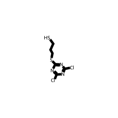 SCCCSc1nc(Cl)nc(Cl)n1